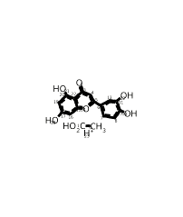 CC(=O)O.O=c1cc(-c2ccc(O)c(O)c2)oc2cc(O)cc(O)c12.[H+]